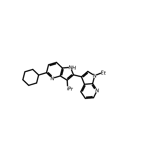 CCn1cc(-c2[nH]c3ccc(C4CCCCC4)nc3c2C(C)C)c2cccnc21